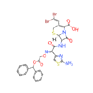 Nc1nc(/C(=N\OCC(=O)OC(c2ccccc2)c2ccccc2)C(=O)NC2C(=O)N3C(C(=O)O)=C(C=C(Br)Br)CS[C@H]23)cs1